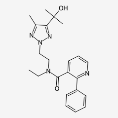 CCN(CCn1nc(C)c(C(C)(C)O)n1)C(=O)c1cccnc1-c1ccccc1